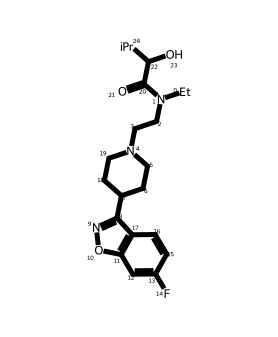 CCN(CCN1CCC(c2noc3cc(F)ccc23)CC1)C(=O)C(O)C(C)C